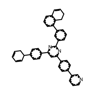 C1=CCC(c2ccc(-c3cc(-c4ccc(-c5cccnc5)cc4)nc(-c4cccc(-c5cccc6c5CCC=C6)c4)n3)cc2)C=C1